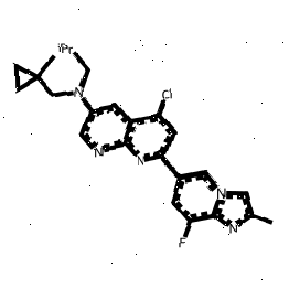 Cc1cn2cc(-c3cc(Cl)c4cc(N(CC(C)C)CC5(C)CC5)cnc4n3)cc(F)c2n1